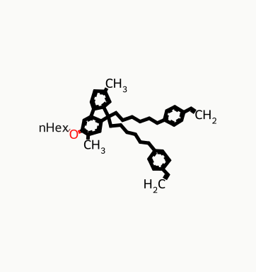 C=Cc1ccc(CCCCCCC2(CCCCCCc3ccc(C=C)cc3)c3cc(C)ccc3-c3cc(OCCCCCC)c(C)cc32)cc1